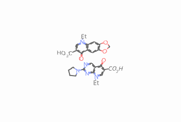 CCn1cc(C(=O)O)c(=O)c2cc3c(cc21)OCO3.CCn1cc(C(=O)O)c(=O)c2cnc(N3CCCC3)nc21